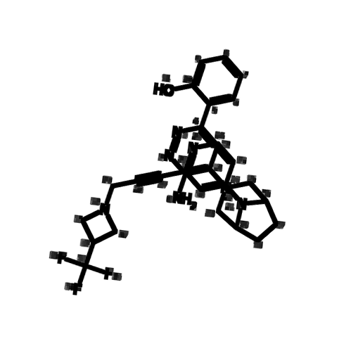 Nc1nnc(-c2ccccc2O)cc1N1CC2CCC(C1)N2c1ccnc(C#CCN2CC(C(F)(F)F)C2)c1